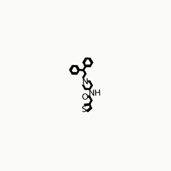 O=C(Cc1ccsc1)NC1CCN(CCC(c2ccccc2)c2ccccc2)CC1